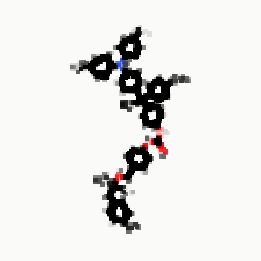 COc1ccc(C(C)(c2ccc(OC(=O)Oc3ccc(CO[Si](C)(C)Cc4ccc(OC(C)=O)cc4)cc3)cc2)c2ccc(N(c3ccc(C)cc3)c3ccc(C)cc3)cc2)cc1